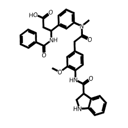 COc1cc(CC(=O)N(C)c2cccc(C(CC(=O)O)NC(=O)c3ccccc3)c2)ccc1NC(=O)C1CNc2ccccc21